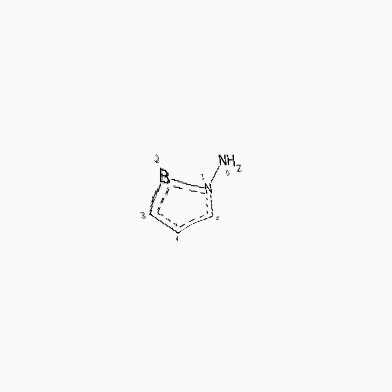 Nn1bccc1